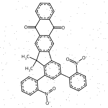 CC1(C)c2cc3c(cc2-c2cc(-c4ccccc4[N+](=O)[O-])cc(-c4ccccc4[N+](=O)[O-])c21)C(=O)c1ccccc1C3=O